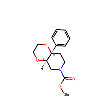 CC(C)(C)OC(=O)N1CC[C@]2(c3ccccc3)OCCO[C@@H]2C1